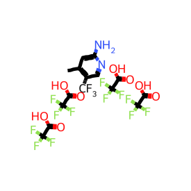 Cc1cc(N)ncc1C(F)(F)F.O=C(O)C(F)(F)F.O=C(O)C(F)(F)F.O=C(O)C(F)(F)F.O=C(O)C(F)(F)F